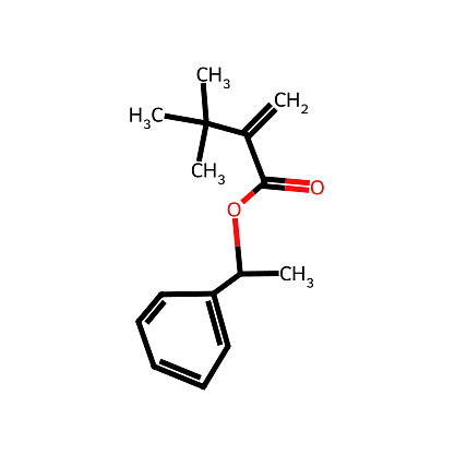 C=C(C(=O)OC(C)c1ccccc1)C(C)(C)C